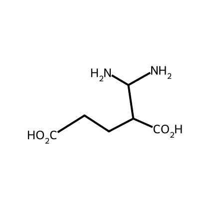 NC(N)C(CCC(=O)O)C(=O)O